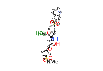 CNS(=O)(=O)c1cccc(OCC(O)CN[C@H]2COC3(CCN(S(=O)(=O)c4ccc5ncccc5c4)CC3)C2)c1.Cl.Cl